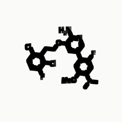 COc1cc(-c2cnc(N)c(OCCc3c(Cl)ccc(F)c3Cl)c2)c(F)cc1P(C)C